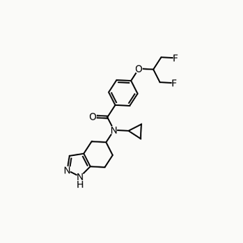 O=C(c1ccc(OC(CF)CF)cc1)N(C1CC1)C1CCc2[nH]ncc2C1